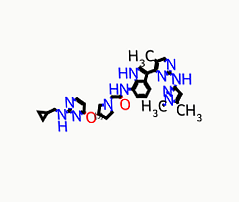 Cc1cnc(Nc2cc(C)n(C)n2)nc1-c1c[nH]c2c(NC(=O)CN3CC[C@H](Oc4ccnc(NCC5CC5)n4)C3)cccc12